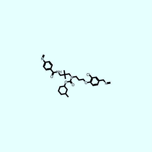 C=NCc1ccc(OCCCN(CC(C)(C)CNC(=O)c2ccc(N=C)cc2)C(=O)OC2CCCC(C)C2)c(Cl)c1